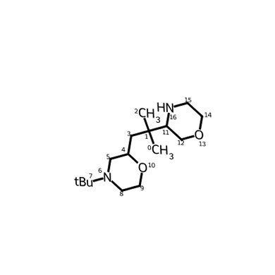 CC(C)(CC1CN(C(C)(C)C)CCO1)C1COCCN1